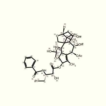 CC(=O)O[C@H]1C2=C(C)[C@@H](OC(=O)[C@H](O)[C@H](CC(C)C)NC(=O)c3ccccc3)C[C@@]2(C(C)(C)O)[C@@H](O)C23CO[C@H](C[C@H](O)[C@@]2(C)[C@H]1O)[C@@H]3OC(C)=O